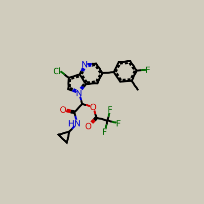 Cc1cc(-c2cnc3c(Cl)cn(C(OC(=O)C(F)(F)F)C(=O)NC4CC4)c3c2)ccc1F